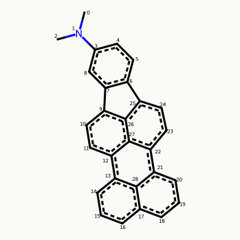 CN(C)c1ccc2c(c1)-c1ccc3c4cccc5cccc(c6ccc-2c1c63)c54